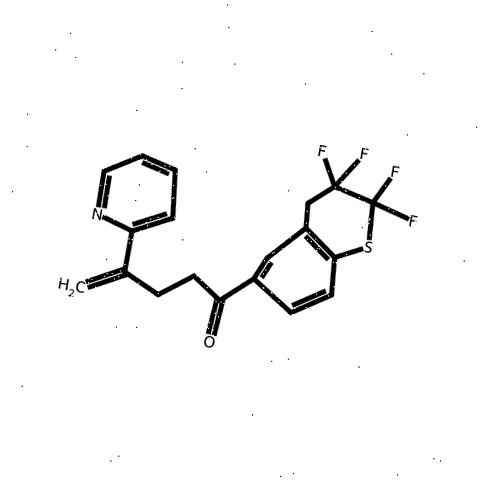 C=C(CCC(=O)c1ccc2c(c1)CC(F)(F)C(F)(F)S2)c1ccccn1